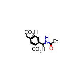 [CH2]CC(=O)NC(C(=O)O)c1ccc(CC(=O)O)cc1